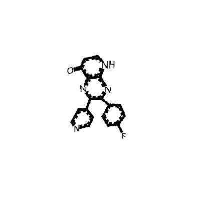 O=c1cc[nH]c2nc(-c3ccc(F)cc3)c(-c3ccncc3)nc12